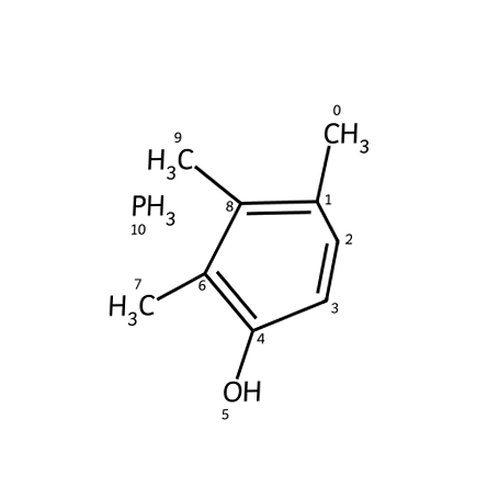 Cc1ccc(O)c(C)c1C.P